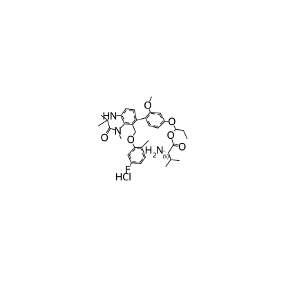 CCC(OC(=O)[C@@H](N)C(C)C)Oc1ccc(-c2ccc3c(c2COc2cc(F)ccc2C)N(C)C(=O)C(C)(C)N3)c(OC)c1.Cl